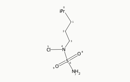 CC(C)CCCN(Cl)S(N)(=O)=O